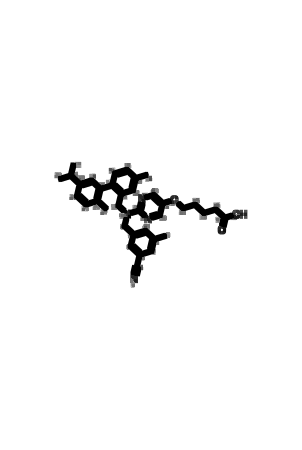 Cc1cc(C#N)cc(CN(Cc2cc(C)ccc2-c2cc(C(C)C)ccc2C)c2ncc(OCCCCC(=O)O)cn2)c1